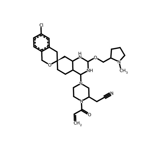 C=CC(=O)N1CCN(C2NC(OCC3CCCN3C)NC3C[C@]4(CCC32)Cc2cc(Cl)ccc2CO4)CC1CC#N